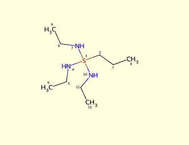 CCCS(NCC)(NCC)NCC